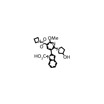 COc1nc(N2CCC(O)C2)c(-c2cc3ccccc3n2C(=O)O)cc1S(=O)(=O)N1CCC1